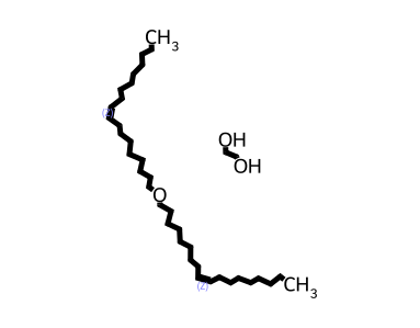 CCCCCCCC/C=C\CCCCCCCCOCCCCCCCC/C=C\CCCCCCCC.OCCO